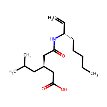 C=C[C@H](CCCCC)NC(=O)C[C@@H](CC(=O)O)CC(C)C